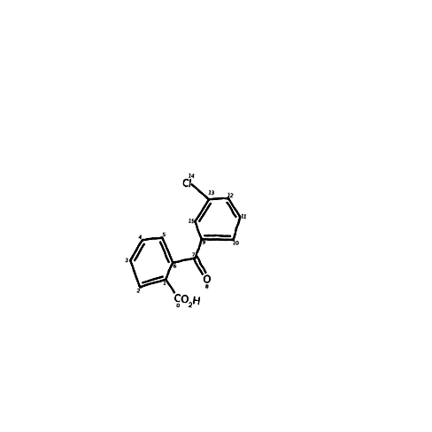 O=C(O)c1ccccc1C(=O)c1cccc(Cl)c1